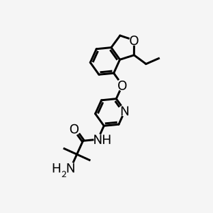 CCC1OCc2cccc(Oc3ccc(NC(=O)C(C)(C)N)cn3)c21